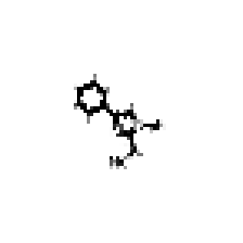 CC(C)n1cc(-c2ccccc2)nc1CC#N